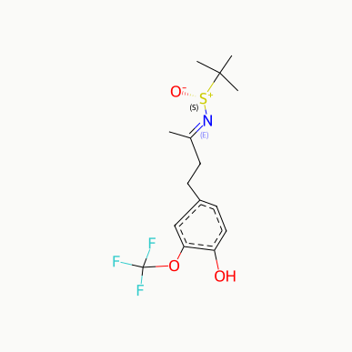 C/C(CCc1ccc(O)c(OC(F)(F)F)c1)=N\[S@+]([O-])C(C)(C)C